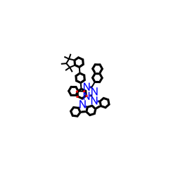 CC1C(C)(C)c2cccc(-c3ccc(-c4ccc(-n5c6ccccc6c6ccc7c8ccccc8n(-c8nc(-c9ccccc9)nc(-c9ccc%10ccccc%10c9)n8)c7c65)cc4)cc3)c2C1(C)C